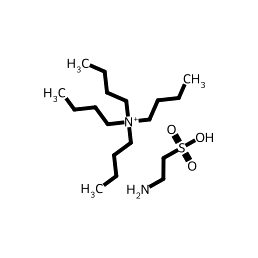 CCCC[N+](CCCC)(CCCC)CCCC.NCCS(=O)(=O)O